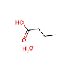 C[CH]CC(=O)O.O